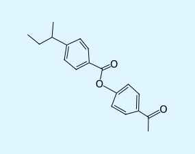 CCC(C)c1ccc(C(=O)Oc2ccc(C(C)=O)cc2)cc1